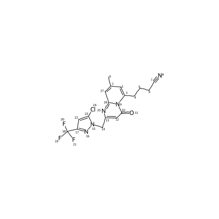 Cc1cc(CCCC#N)n2c(=O)cc(Cn3nc(C(F)(F)F)cc3Cl)nc2c1